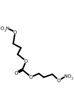 O=C(OCCCO[N+](=O)[O-])OCCCO[N+](=O)[O-]